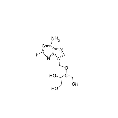 Nc1nc(I)nc2c1ncn2CO[C@H](CO)C(O)CO